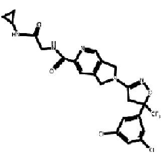 O=C(CNC(=O)c1cc2c(cn1)CN(C1=NOC(c3cc(Cl)cc(Cl)c3)(C(F)(F)F)C1)C2)NC1CC1